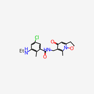 CCNc1cc(Cl)cc(C(=O)NCc2c(C)n3c(cc2=O)CCO3)c1C